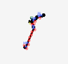 Cc1csc2c(OC(=O)N3CCN(C(=O)CCOCCOCCOCCOCCNC(=O)CCN4C(=O)C=CC4=O)CC3)cc3c(c12)[C@H](CCl)CN3C(=O)c1cc2cc(NC(=O)c3cc4ccccc4[nH]3)ccc2[nH]1